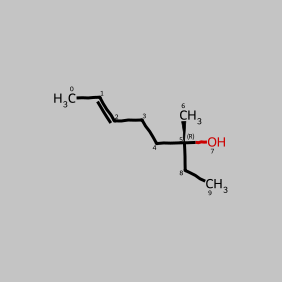 CC=CCC[C@](C)(O)CC